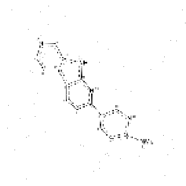 CNc1ccc(-c2ccc3c(n2)[nH]c2cnccc23)cn1